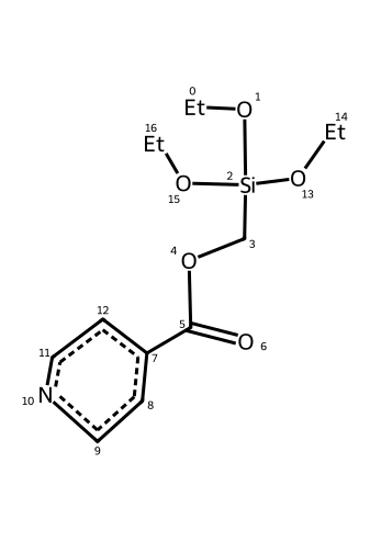 CCO[Si](COC(=O)c1ccncc1)(OCC)OCC